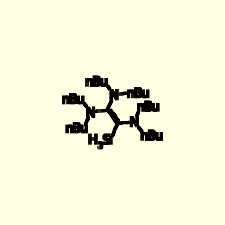 CCCCN(CCCC)C([SiH3])=C(N(CCCC)CCCC)N(CCCC)CCCC